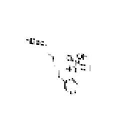 CCCCCCCCCCCCCCCCc1ccccc1.O=P(O)(O)O